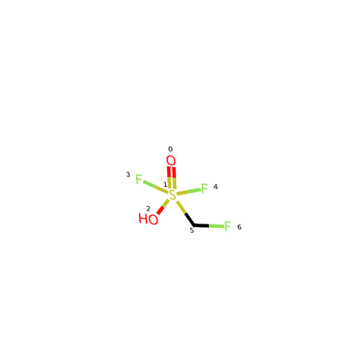 O=S(O)(F)(F)CF